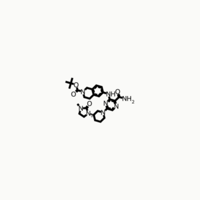 CN1CCN([C@@H]2CCCN(c3cnc(C(N)=O)c(Nc4ccc5c(c4)CCN(C(=O)OC(C)(C)C)C5)n3)C2)C1=O